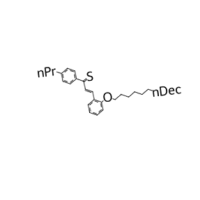 CCCCCCCCCCCCCCCCOc1ccccc1C=CC(=S)c1ccc(CCC)cc1